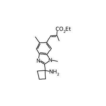 CCOC(=O)/C(C)=C/c1cc2c(cc1C)nc(C1(N)CCC1)n2C